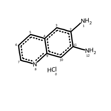 Cl.Nc1cc2cccnc2cc1N